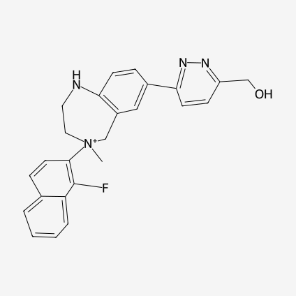 C[N+]1(c2ccc3ccccc3c2F)CCNc2ccc(-c3ccc(CO)nn3)cc2C1